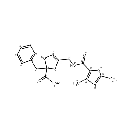 COC(=O)C1(Cc2ccccc2)CC(CNC(=O)c2sc(C)nc2C)=NO1